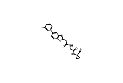 N#CC1(NC(=O)CNC(=O)Cc2nc3cc(-c4cccc(F)c4)ccc3s2)CC1